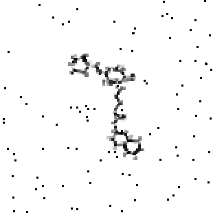 O=C(N[C@@H](CCCCNCc1ccc2ccccc2c1)C(=O)O)OCc1ccccc1